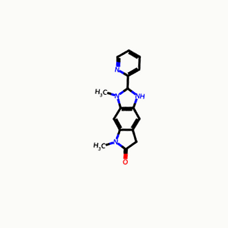 CN1C(=O)Cc2cc3c(cc21)N(C)C(c1ccccn1)N3